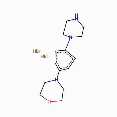 Br.Br.c1cc(N2CCOCC2)ccc1N1CCNCC1